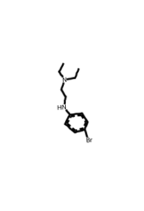 CCN(CC)CCNc1ccc(Br)cc1